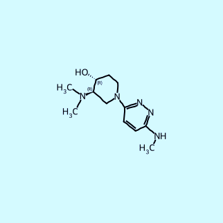 CNc1ccc(N2CC[C@@H](O)[C@H](N(C)C)C2)nn1